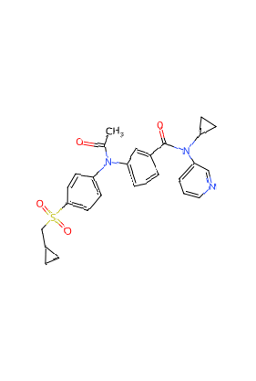 CC(=O)N(c1ccc(S(=O)(=O)CC2CC2)cc1)c1cccc(C(=O)N(c2cccnc2)C2CC2)c1